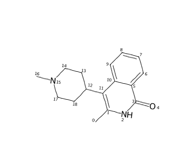 Cc1[nH]c(=O)c2ccccc2c1C1CCN(C)CC1